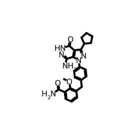 COc1c(Cc2ccc(-n3nc(C4CCCC4)c4c(=O)[nH]nc(N)c43)cc2)cccc1C(N)=O